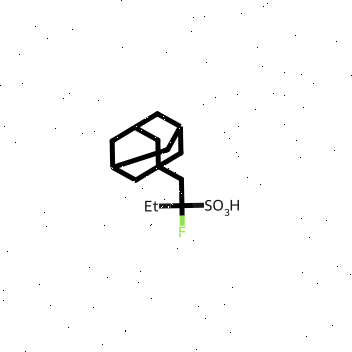 CCC(F)(CC12CC3CC(CC(C3)C1)C2)S(=O)(=O)O